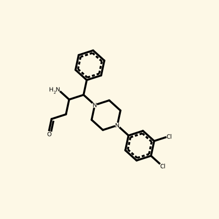 NC(CC=O)C(c1ccccc1)N1CCN(c2ccc(Cl)c(Cl)c2)CC1